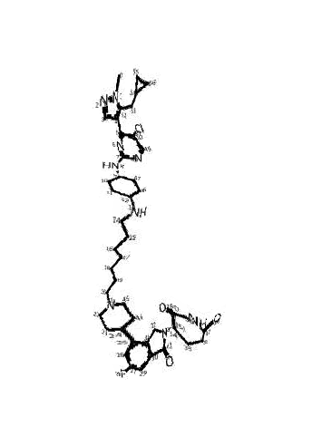 Cn1ncc(-c2nc(N[C@H]3CC[C@H](NCCCCCCCN4CCC(c5cc(F)cc6c5CN([C@H]5CCC(=O)NC5=O)C6=O)CC4)CC3)ncc2Cl)c1CC1CC1